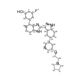 Oc1cc(F)cc(-c2nccc3[nH]c(-c4n[nH]c5ccc(-c6cncc(OCCN7CCCC7)c6)cc45)nc23)c1